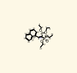 CCOP(OCC)/C(=C\c1cccc2ccccc12)P(=O)(OCC)OCC